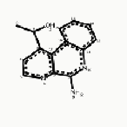 CC(O)c1ccnc2c(N)nc3ccccc3c12